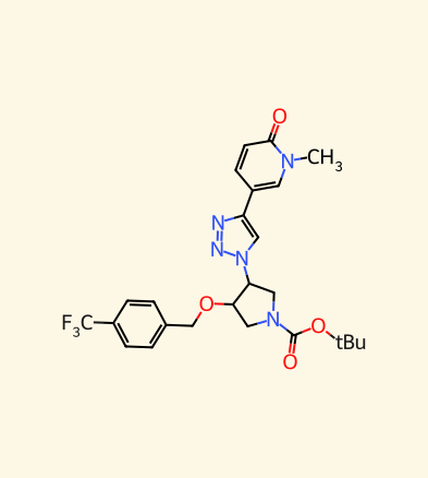 Cn1cc(-c2cn(C3CN(C(=O)OC(C)(C)C)CC3OCc3ccc(C(F)(F)F)cc3)nn2)ccc1=O